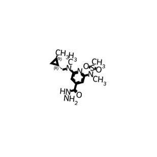 C[C@@H]1C[C@H]1CN(C)c1cc(C(=O)NN)cc(N(C)S(C)(=O)=O)n1